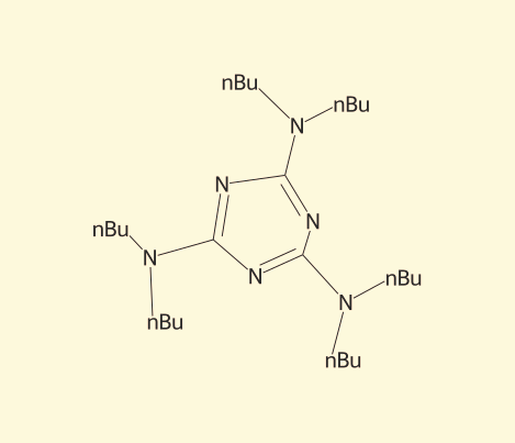 CCCCN(CCCC)c1nc(N(CCCC)CCCC)nc(N(CCCC)CCCC)n1